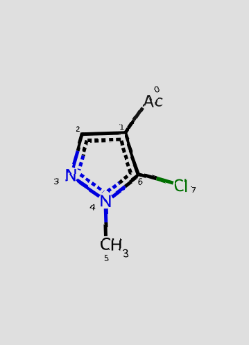 CC(=O)c1cnn(C)c1Cl